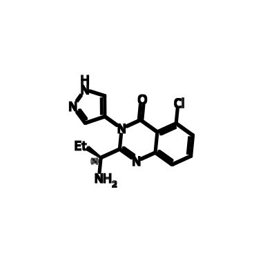 CC[C@H](N)c1nc2cccc(Cl)c2c(=O)n1-c1cn[nH]c1